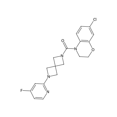 O=C(N1CC2(C1)CN(c1cc(F)ccn1)C2)N1CCOc2cc(Cl)ccc21